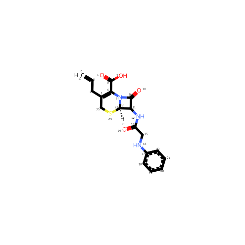 C=CCC1=C(C(=O)O)N2C(=O)C(NC(=O)CNc3ccccc3)[C@H]2SC1